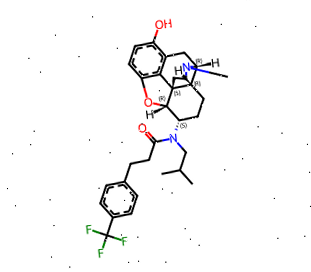 CC(C)CN(C(=O)CCc1ccc(C(F)(F)F)cc1)[C@H]1CC[C@H]2[C@H]3Cc4c(O)ccc5c4[C@@]2(CCN3C)[C@H]1O5